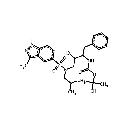 Cc1n[nH]c2ccc(S(=O)(=O)N(CC(C)C)CC(O)C(Cc3ccccc3)NC(=O)OC(C)(C)C)cc12